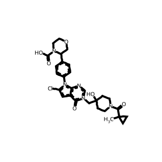 CC1(C(=O)N2CCC(O)(Cn3cnc4c(cc(Cl)n4-c4ccc(C5COCCN5C(=O)O)cc4)c3=O)CC2)CC1